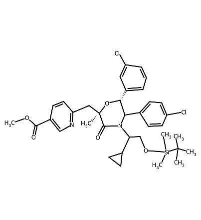 COC(=O)c1ccc(C[C@@]2(C)O[C@H](c3cccc(Cl)c3)C(c3ccc(Cl)cc3)N(C(CO[Si](C)(C)C(C)(C)C)C3CC3)C2=O)nc1